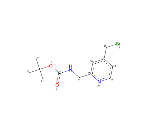 CC(C)(C)OC(=O)NCc1cc(CBr)ccn1